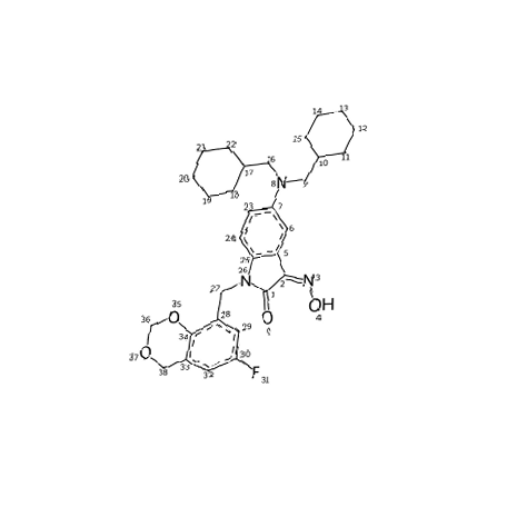 O=C1/C(=N\O)c2cc(N(CC3CCCCC3)CC3CCCCC3)ccc2N1Cc1cc(F)cc2c1OCOC2